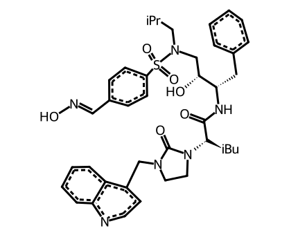 CC[C@H](C)[C@@H](C(=O)N[C@@H](Cc1ccccc1)[C@H](O)CN(CC(C)C)S(=O)(=O)c1ccc(/C=N/O)cc1)N1CCN(Cc2ccnc3ccccc23)C1=O